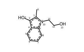 Cc1c(O)c2[c]cccc2n1CCO